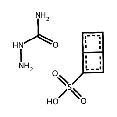 NNC(N)=O.O=S(=O)(O)c1cc2ccc1-2